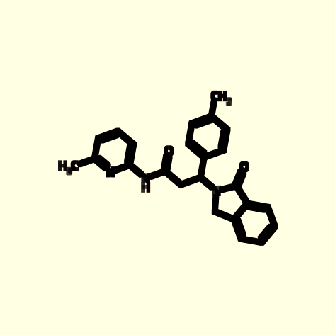 Cc1ccc(C(CC(=O)Nc2cccc(C)n2)N2Cc3ccccc3C2=O)cc1